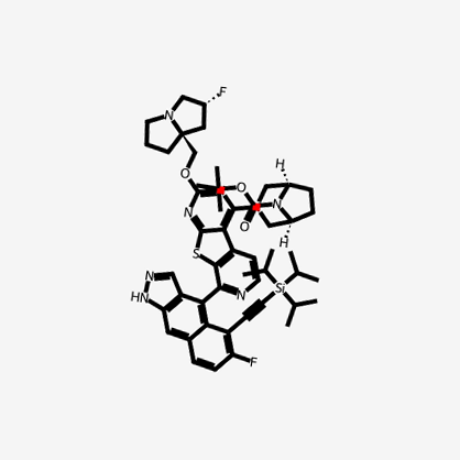 CC(C)[Si](C#Cc1c(F)ccc2cc3[nH]ncc3c(-c3nccc4c3sc3nc(OC[C@@]56CCCN5C[C@H](F)C6)nc(N5C[C@H]6CC[C@@H](C5)N6C(=O)OC(C)(C)C)c34)c12)(C(C)C)C(C)C